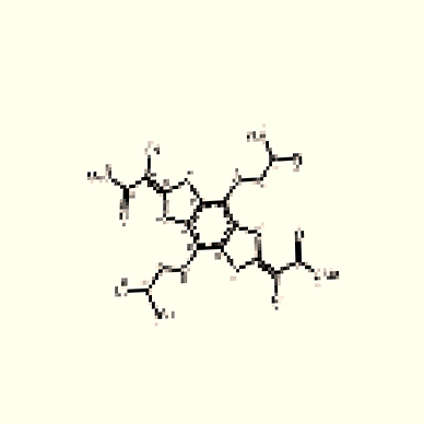 [C-]#[N+]C(C(=O)OC)=C1Sc2c(OCC(CC)CCCC)c3c(c(OCC(CC)CCCC)c2S1)SC(=C(C#N)C(=O)OC)S3